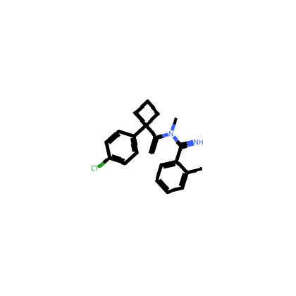 C=C(N(C)C(=N)c1ccccc1C)C1(c2ccc(Cl)cc2)CCC1